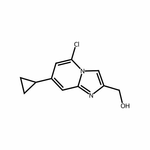 OCc1cn2c(Cl)cc(C3CC3)cc2n1